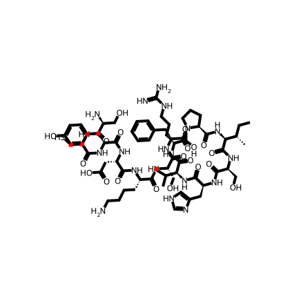 CC[C@H](C)[C@H](NC(=O)[C@@H]1CCCN1C(=O)[C@H](Cc1ccccc1)NC(=O)[C@H](CO)NC(=O)[C@H](CCCCN)NC(=O)[C@H](CC(=O)O)NC(=O)[C@H](Cc1ccc(O)cc1)NC(=O)[C@H](CS)NC(=O)[C@@H](N)CO)C(=O)N[C@@H](CO)C(=O)N[C@@H](Cc1c[nH]cn1)C(=O)N[C@H](C(=O)N[C@@H](CCCNC(=N)N)C(=O)O)C(C)C